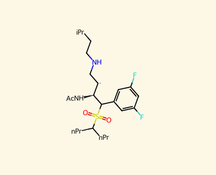 CCCC(CCC)S(=O)(=O)C(c1cc(F)cc(F)c1)[C@H]([CH]CNCCC(C)C)NC(C)=O